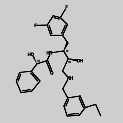 CCc1cccc(CNC[C@H](O)[C@H](Cc2cc(F)cc(F)c2)NC(=O)[C@@H](O)c2ccccc2)c1